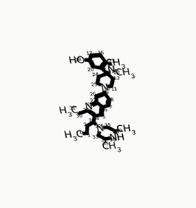 CCCC(c1cc2ccc(N3CCC(c4cccc(O)c4)(N(C)C)CC3)cc2nc1CC)N1C[C@@H](C)N[C@@H](C)C1